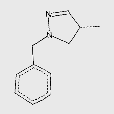 CC1C=NN(Cc2ccccc2)C1